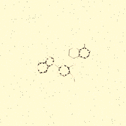 O=[N+]([O-])c1cnc(-n2cnc3cnccc32)nc1N[C@@H]1CCOc2c(F)cccc21